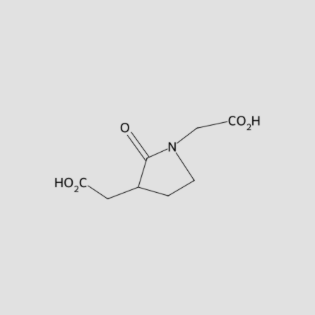 O=C(O)CC1CCN(CC(=O)O)C1=O